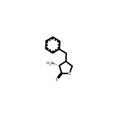 N[C@H]1C(=S)OCC1Cc1ccccc1